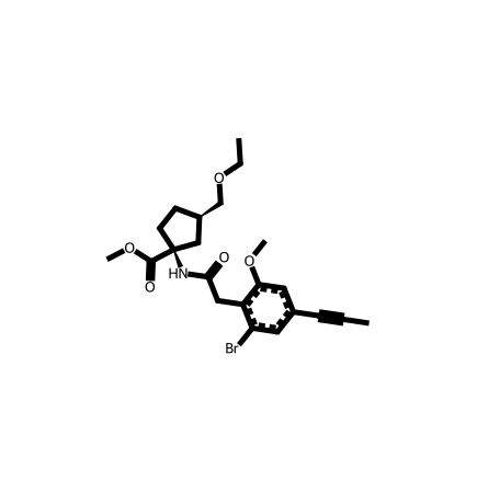 CC#Cc1cc(Br)c(CC(=O)N[C@@]2(C(=O)OC)CC[C@@H](COCC)C2)c(OC)c1